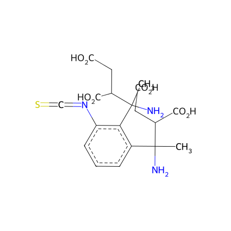 CC(N)(c1cccc(N=C=S)c1C(C)(N)C(CC(=O)O)C(=O)O)C(CC(=O)O)C(=O)O